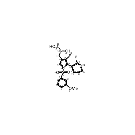 COc1cccc(S(=O)(=O)n2cc(CN(C)C(=O)O)c(F)c2-c2cccnc2F)c1